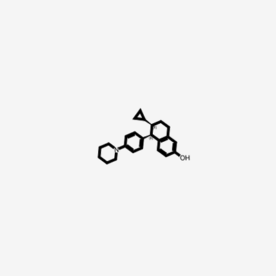 Oc1ccc2c(c1)CC[C@H](C1CC1)[C@@H]2c1ccc(N2CCCCC2)cc1